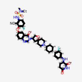 CCN(C)S(=O)(=O)Nc1ccc(F)c(Oc2ccc3ncn(C4COC5(CCN([C@H]6CC[C@@H](c7ccc(NC8CCC(=O)NC8=O)cc7F)CC6)CC5)C4)c(=O)c3c2)c1C#N